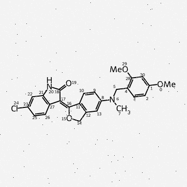 COc1ccc(CN(C)c2ccc3c(c2)COC3=C2C(=O)Nc3cc(Cl)ccc32)c(OC)c1